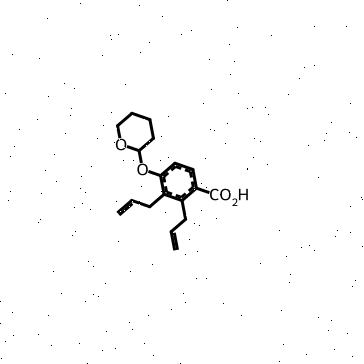 C=CCc1c(OC2CCCCO2)ccc(C(=O)O)c1CC=C